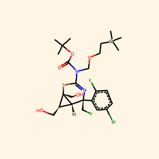 CC(C)(C)OC(=O)N(COCC[Si](C)(C)C)C1=N[C@](CF)(c2cc(Br)ccc2F)[C@@H]2[C@@H](CO)[C@]2(CO)S1